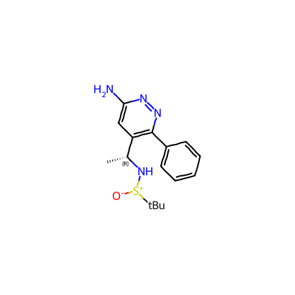 C[C@@H](N[S+]([O-])C(C)(C)C)c1cc(N)nnc1-c1ccccc1